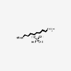 CCCCCCCCCCCCCCCCCC(=O)O.O[Si](O)(O)O